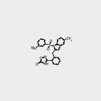 CC(C)(C)c1cccc(S(=O)(=O)n2c(Cc3ccccc3-c3noc(=O)[nH]3)cc3cc(C(F)(F)F)ccc32)c1